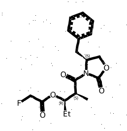 CC[C@@H](OC(=O)CF)[C@H](C)C(=O)N1C(=O)OC[C@@H]1Cc1ccccc1